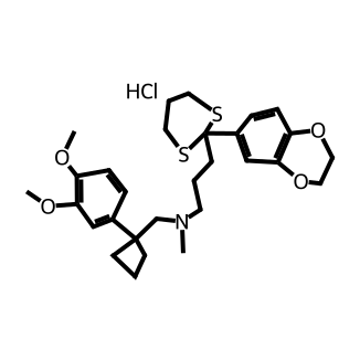 COc1ccc(C2(CN(C)CCCC3(c4ccc5c(c4)OCCO5)SCCCS3)CCC2)cc1OC.Cl